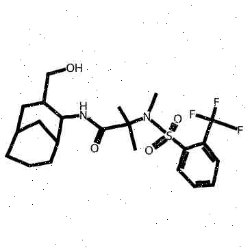 CN(C(C)(C)C(=O)NC1C(CO)CC2CCCC1C2)S(=O)(=O)c1ccccc1C(F)(F)F